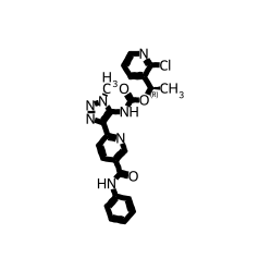 C[C@@H](OC(=O)Nc1c(-c2ccc(C(=O)Nc3ccccc3)cn2)nnn1C)c1cccnc1Cl